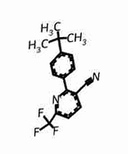 CC(C)(C)c1ccc(-c2nc(C(F)(F)F)ccc2C#N)cc1